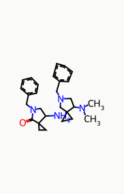 CN(C)C1CN(Cc2ccccc2)CC12CC2.NC1CN(Cc2ccccc2)C(=O)C12CC2